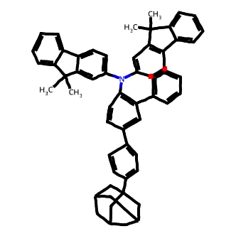 CC1(C)C2=C(CCC(N(c3ccc4c(c3)C(C)(C)c3ccccc3-4)c3ccc(-c4ccc(C56CC7CC(CC(C7)C5)C6)cc4)cc3C3=C=C=CC=C3)=C2)c2ccccc21